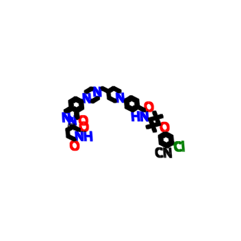 CC1(C)[C@H](NC(=O)c2ccc(N3CCC(CN4CCN(c5ccc6cnn([C@H]7CCC(=O)NC7=O)c(=O)c6c5)CC4)CC3)cc2)C(C)(C)[C@H]1Oc1ccc(C#N)c(Cl)c1